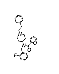 O=C(c1ccco1)N(Cc1ccccc1F)C1CCN(CCc2ccccc2)CC1